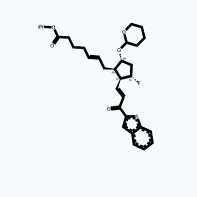 CC(C)OC(=O)CCCC=CC[C@@H]1[C@H](C=CC(=O)c2cc3ccccc3s2)[C@@H](F)C[C@H]1OC1CCCCO1